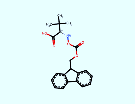 CC(C)(C)[C@H](NOC(=O)OCC1c2ccccc2-c2ccccc21)C(=O)O